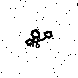 O=C(OCc1ccccc1)C1(c2ccccc2)CCC=N1